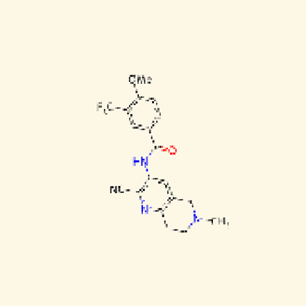 COc1ccc(C(=O)Nc2cc3c(nc2C#N)CCN(C)C3)cc1C(F)(F)F